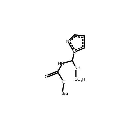 CC(C)(C)OC(=O)NC(NC(=O)O)n1cccn1